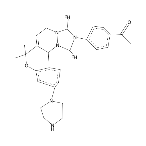 [2H]C1N(c2ccc(C(C)=O)cc2)C([2H])N2C3C(=CCN12)C(C)(C)Oc1cc(N2CCNCC2)ccc13